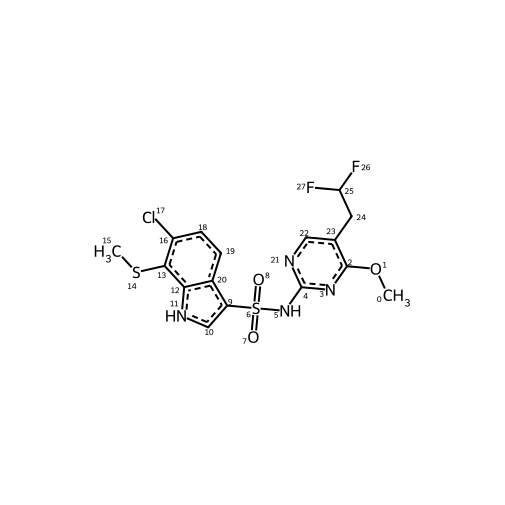 COc1nc(NS(=O)(=O)c2c[nH]c3c(SC)c(Cl)ccc23)ncc1CC(F)F